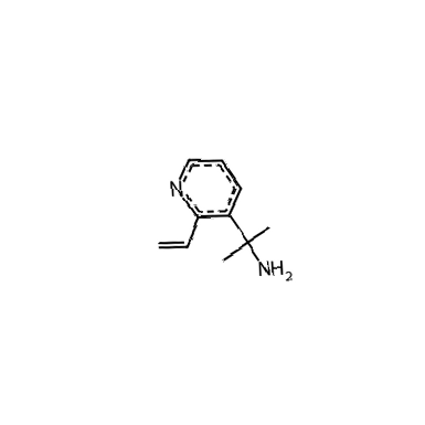 C=Cc1ncccc1C(C)(C)N